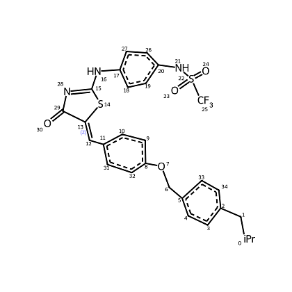 CC(C)Cc1ccc(COc2ccc(/C=C3\SC(Nc4ccc(NS(=O)(=O)C(F)(F)F)cc4)=NC3=O)cc2)cc1